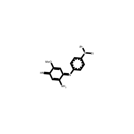 CCN(c1ccc(N=C2C=C(OC)C(=N)[C]=C2N)cc1)C(C)C